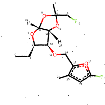 CC[C@H]1O[C@@H]2OC(C)(CF)O[C@@H]2[C@H]1OCc1oc(F)cc1C